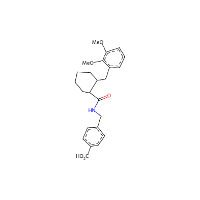 COc1cccc(CC2CCCCC2C(=O)NCc2ccc(C(=O)O)cc2)c1OC